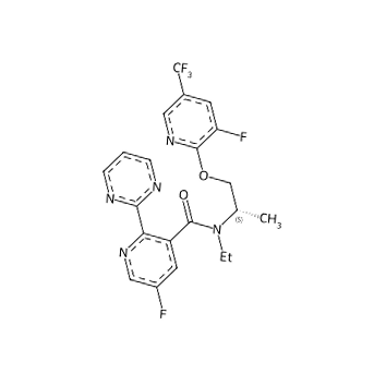 CCN(C(=O)c1cc(F)cnc1-c1ncccn1)[C@@H](C)COc1ncc(C(F)(F)F)cc1F